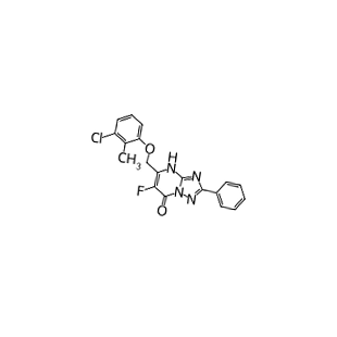 Cc1c(Cl)cccc1OCc1[nH]c2nc(-c3ccccc3)nn2c(=O)c1F